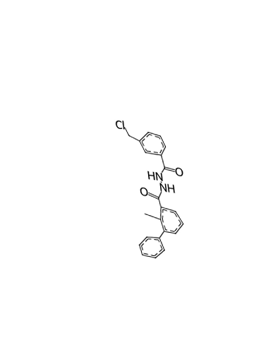 Cc1c(C(=O)NNC(=O)c2cccc(CCl)c2)cccc1-c1ccccc1